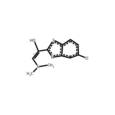 CN(C)/C=C(/O)c1nc2cc(Cl)ccc2s1